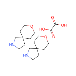 C1CC2(CCOCC2)CN1.C1CC2(CCOCC2)CN1.O=C(O)C(=O)O